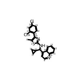 Cc1sc(NC(c2ccnc3ccccc23)C2CC2)nc1-c1ccc(Cl)cc1Cl